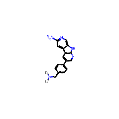 CCN(CC)Cc1ccc(-c2cnc3[nH]c4cnc(N)cc4c3c2)cc1